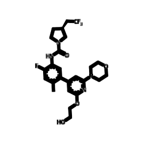 Cc1cc(F)c(NC(=O)N2CC[C@@H](CC(F)(F)F)C2)cc1-c1cc(OCCO)nc(N2CCOCC2)c1